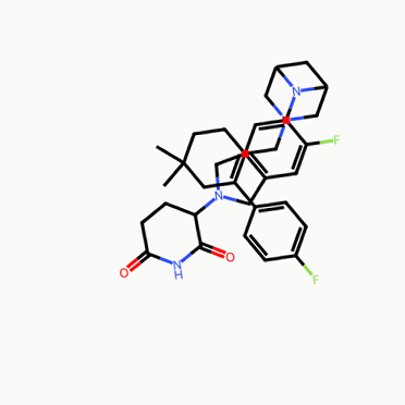 CC1(C)CCC(CN2CC3CC(C2)N3c2cc3c(cc2F)CN(C2CCC(=O)NC2=O)C3)=C(c2ccc(F)cc2)C1